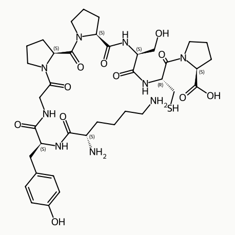 NCCCC[C@H](N)C(=O)N[C@@H](Cc1ccc(O)cc1)C(=O)NCC(=O)N1CCC[C@H]1C(=O)N1CCC[C@H]1C(=O)N[C@@H](CO)C(=O)N[C@@H](CS)C(=O)N1CCC[C@H]1C(=O)O